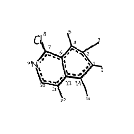 Cc1c(C)c(C)c2c(Cl)ncc(C)c2c1C